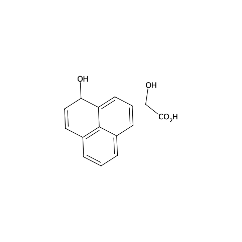 O=C(O)CO.OC1C=Cc2cccc3cccc1c23